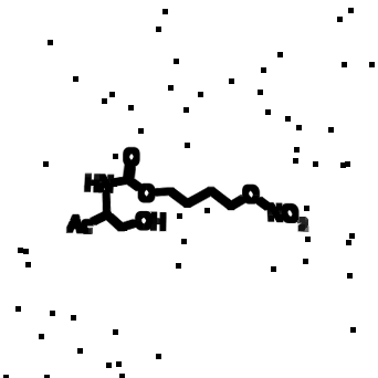 CC(=O)C(CO)NC(=O)OCCCCO[N+](=O)[O-]